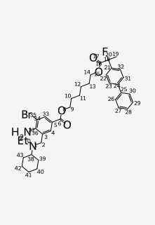 CCN(Cc1cc(C(=O)OCCCCCCOC(=O)C(C)(F)c2ccc(-c3ccccc3)cc2)cc(Br)c1N)C1CCCCC1